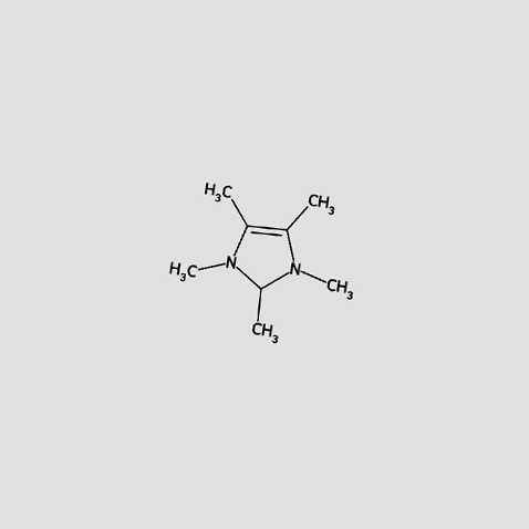 CC1=C(C)N(C)C(C)N1C